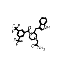 NC(=O)CN1CCN(C(=O)c2cc(C(F)(F)F)cc(C(F)(F)F)c2)C(Cc2c[nH]c3ccccc23)C1